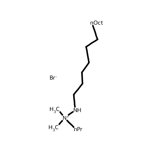 CCCCCCCCCCCCCCN[N+](C)(C)CCC.[Br-]